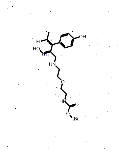 CC/C(C)=C(\C(CNCCOCCNC(=O)OC(C)(C)C)=N/O)c1ccc(O)cc1